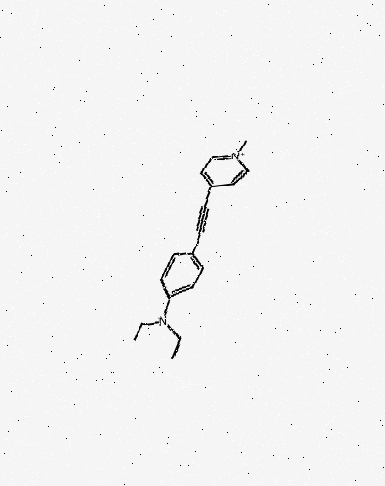 CCN(CC)c1ccc(C#Cc2cc[n+](C)cc2)cc1